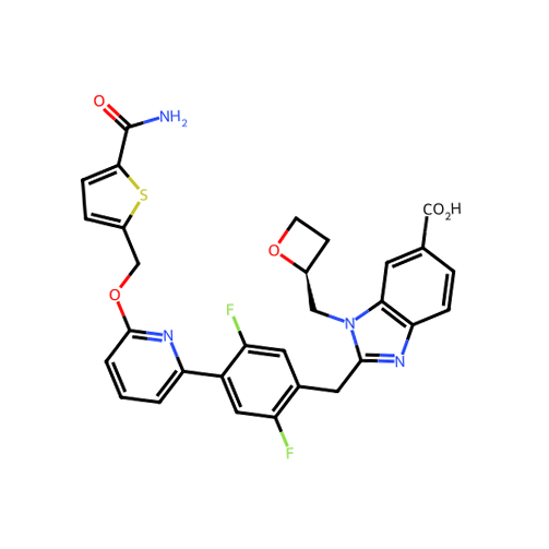 NC(=O)c1ccc(COc2cccc(-c3cc(F)c(Cc4nc5ccc(C(=O)O)cc5n4C[C@@H]4CCO4)cc3F)n2)s1